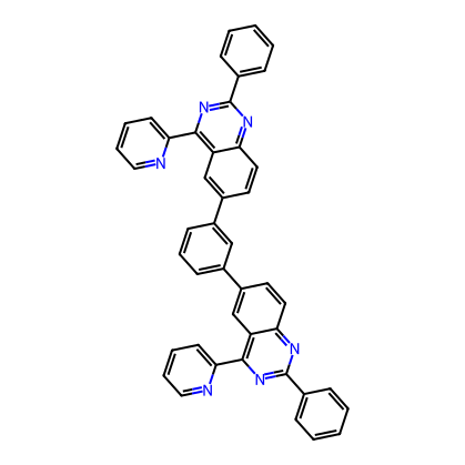 c1ccc(-c2nc(-c3ccccn3)c3cc(-c4cccc(-c5ccc6nc(-c7ccccc7)nc(-c7ccccn7)c6c5)c4)ccc3n2)cc1